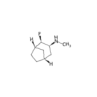 CN[C@H]1C[C@@H]2CC[C@@H](C2)[C@H]1F